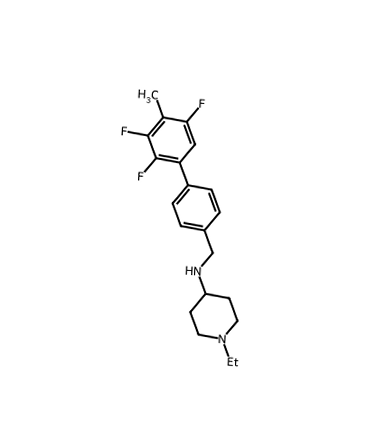 CCN1CCC(NCc2ccc(-c3cc(F)c(C)c(F)c3F)cc2)CC1